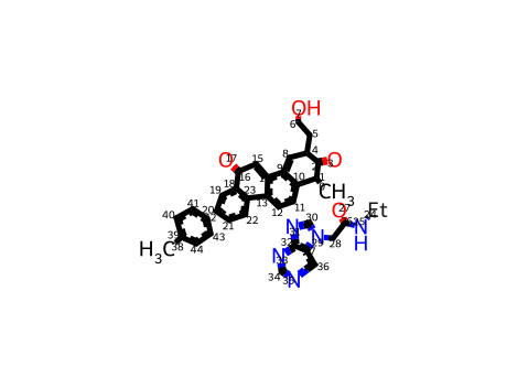 CC1C(=O)C(CCO)C=c2c1ccc1c2=CC(=O)c2ccccc2-1.CCNC(=O)Cn1cnc2ncncc21.Cc1ccccc1